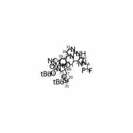 COCCc1nn(CC(F)F)cc1Nc1nccc(-c2cc(C#N)c3c(c2)[C@@](C)(CO[Si](C)(C)C(C)(C)C)CN3C(=O)OC(C)(C)C)n1